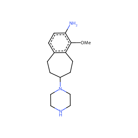 COc1c(N)ccc2c1CCC(N1CCNCC1)CC2